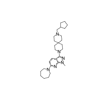 Cn1nc(N2CCC3(CCN(CC4CCCC4)CC3)CC2)c2ccc(N3CCCCCC3)nc21